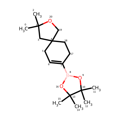 CC1(C)CC2(CC=C(B3OC(C)(C)C(C)(C)O3)CC2)CO1